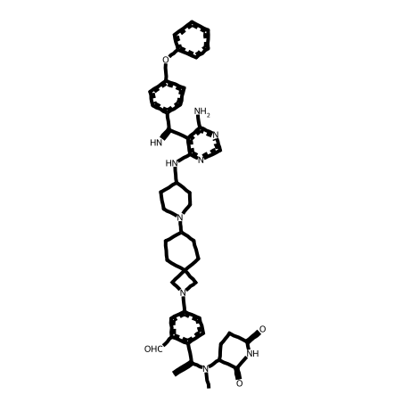 C=C(c1ccc(N2CC3(CCC(N4CCC(Nc5ncnc(N)c5C(=N)c5ccc(Oc6ccccc6)cc5)CC4)CC3)C2)cc1C=O)N(C)C1CCC(=O)NC1=O